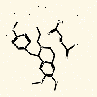 CCCN1CCc2cc(OC)c(OC)cc2C1Cc1ccc(OC)cc1.O=C(O)/C=C/C(=O)Cl